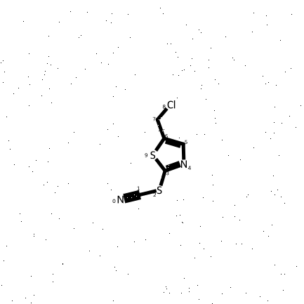 N#CSc1ncc(CCl)s1